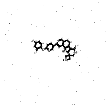 O=C1NCC2(CNC2)c2[nH]c3c(c21)CCc1cnc(-c2ccc(Oc4ccc(F)cc4F)nc2)cc1-3